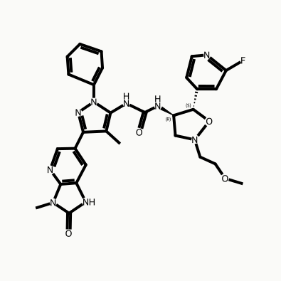 COCCN1C[C@@H](NC(=O)Nc2c(C)c(-c3cnc4c(c3)[nH]c(=O)n4C)nn2-c2ccccc2)[C@H](c2ccnc(F)c2)O1